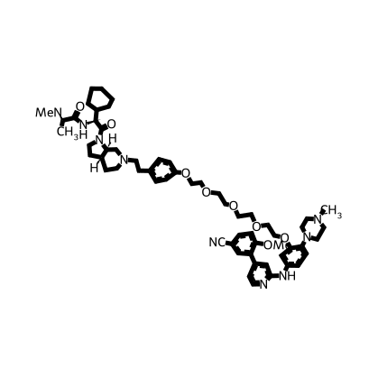 CN[C@@H](C)C(=O)N[C@H](C(=O)N1CC[C@@H]2CCN(CCc3ccc(OCCOCCOCCOCCOc4cc(Nc5cc(-c6cc(C#N)ccc6OC)ccn5)ccc4N4CCN(C)CC4)cc3)C[C@@H]21)C1CCCCC1